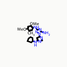 COc1cc(OC)c(Nc2nc(N)n(-c3cc(NC4CCCCC4)ncn3)n2)cc1C